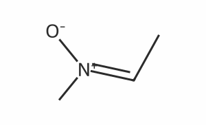 C/C=[N+](/C)[O-]